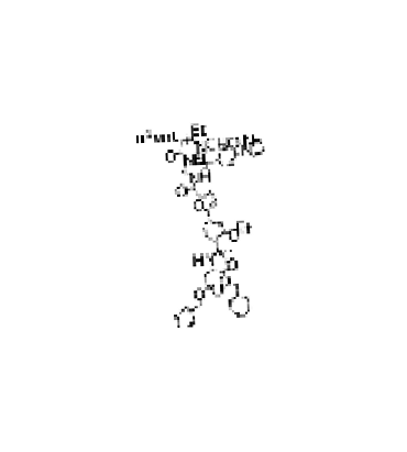 CCCCCC(C(=O)NCNC(=O)c1ccc(-c2ccc(C(=O)NC(CC(=O)OCc3ccccc3)C(=O)OCc3ccccc3)c(OCC)c2)o1)[C@@H](CC)N(C=O)OC(=O)c1ccc(-n2cccn2)cc1